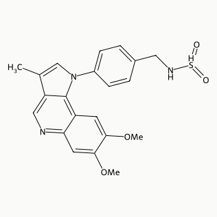 COc1cc2ncc3c(C)cn(-c4ccc(CN[SH](=O)=O)cc4)c3c2cc1OC